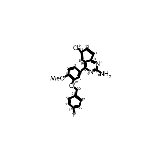 COc1ccc(-c2nc(N)nc3ccc(Cl)cc23)cc1OCc1ccc(F)cc1